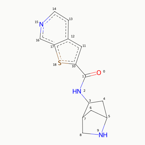 O=C(NC1CC2CC1CN2)c1cc2ccncc2s1